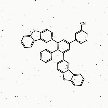 N#Cc1cccc(-c2cc(-c3ccc4sc5ccccc5c4c3)c(-c3ccccc3)c(-c3ccc4sc5ccccc5c4c3)c2)c1